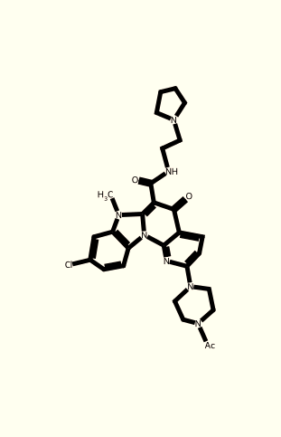 CC(=O)N1CCN(c2ccc3c(=O)c(C(=O)NCCN4CCCC4)c4n(C)c5cc(Cl)ccc5n4c3n2)CC1